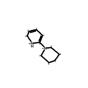 [C]1=CC=C(N2CCCCC2)NC1